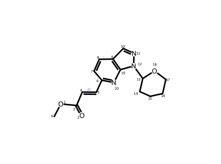 COC(=O)/C=C/c1ccc2cnn(C3CCCCO3)c2n1